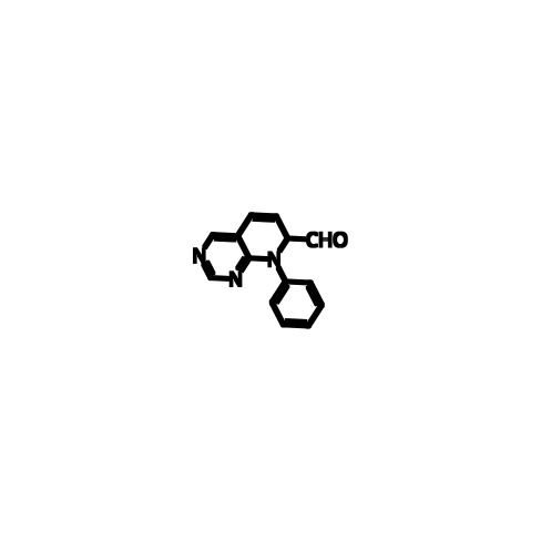 O=CC1C=Cc2cncnc2N1c1ccccc1